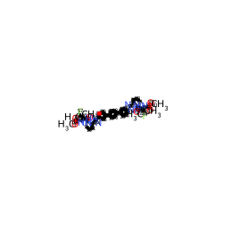 COC(=O)NC(C(=O)N1CCCC1c1nc2cc(-c3ccc(-c4ccc5[nH]c([C@@H]6CCCN6C(=O)C(NC(=O)OC)C(C)(C)F)nc5c4)cc3)ccc2[nH]1)C(C)(C)F